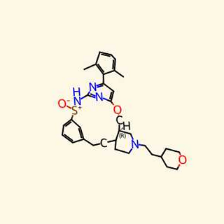 Cc1cccc(C)c1-c1cc2nc(n1)N[S+]([O-])c1cccc(c1)CCC1CCN(CCC3CCOCC3)C[C@@H]1CO2